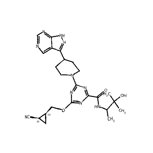 CC(NC(=O)c1nc(OC[C@H]2C[C@H]2C#N)nc(N2CCC(c3n[nH]c4ncncc34)CC2)n1)C(C)(C)O